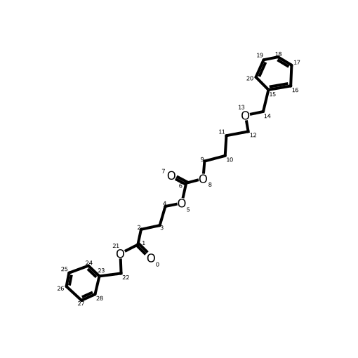 O=C(CCCOC(=O)OCCCCOCc1ccccc1)OCc1ccccc1